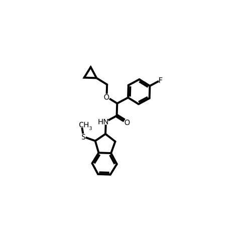 CSC1c2ccccc2CC1NC(=O)C(OCC1CC1)c1ccc(F)cc1